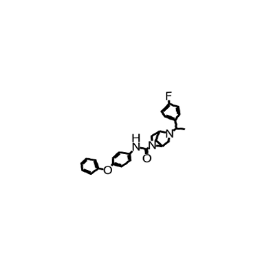 CC(c1ccc(F)cc1)N1CC2CC1CN2C(=O)Nc1ccc(Oc2ccccc2)cc1